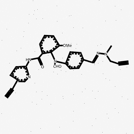 C#CCN(C)N=Cc1ccc(N(C=O)c2c(OC)cccc2C(=O)Nc2ccc(C#C)cn2)cc1